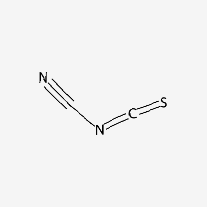 N#CN=C=S